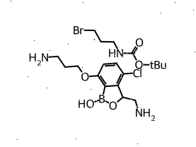 CC(C)(C)OC(=O)NCCCBr.NCCCOc1ccc(Cl)c2c1B(O)OC2CN